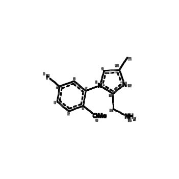 COc1ccc(F)cc1-n1cc(C)nc1CN